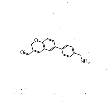 NCc1ccc(-c2ccc3c(c2)C=C(C=O)CO3)cc1